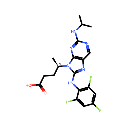 CC(C)Nc1ncc2nc(Nc3c(F)cc(F)cc3F)n([C@H](C)CCC(=O)O)c2n1